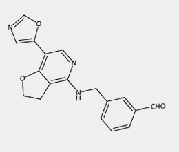 O=Cc1cccc(CNc2ncc(-c3cnco3)c3c2CCO3)c1